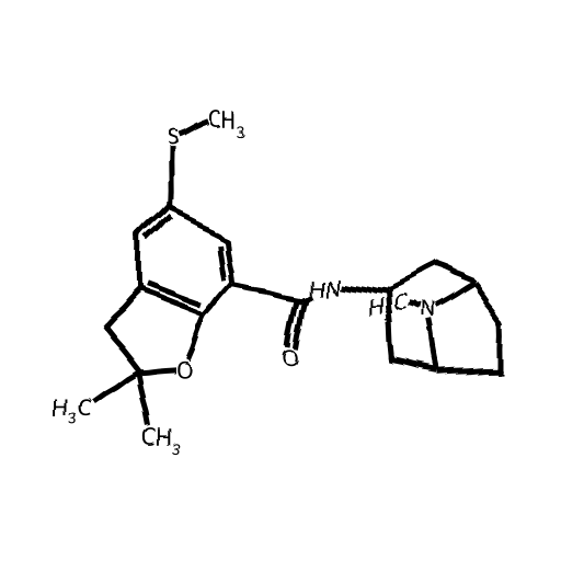 CSc1cc2c(c(C(=O)NC3CC4CCC(C3)N4C)c1)OC(C)(C)C2